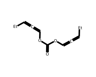 CCC=C=COC(=O)OC=C=CCC